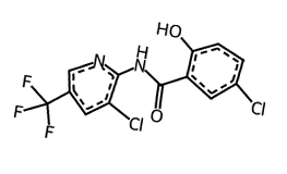 O=C(Nc1ncc(C(F)(F)F)cc1Cl)c1cc(Cl)ccc1O